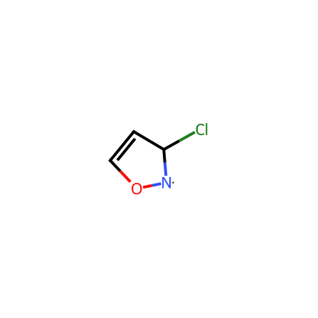 ClC1C=CO[N]1